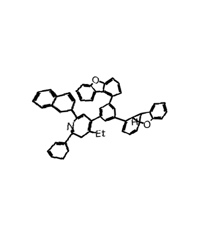 CCC1=C(c2cc(C3=CC=CC45Oc6ccccc6C4[C@@H]35)cc(-c3cccc4oc5ccccc5c34)c2)C=C(C2C=Cc3ccccc3C2)N=C(C2=CC=CCC2)C1